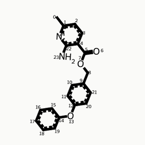 Cc1ccc(C(=O)OCc2ccc(Oc3ccccc3)cc2)c(N)n1